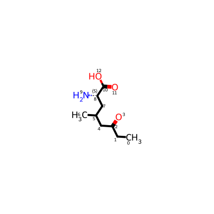 CCC(=O)CC(C)C[C@H](N)C(=O)O